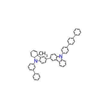 CC12C=CC=CC1N(c1cccc(-c3ccccc3)c1)c1ccc(-c3ccc4c(c3)c3ccccc3n4-c3ccc(-c4ccc(-c5ccccc5)cc4)cc3)cc12